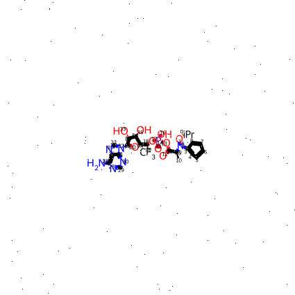 CC(C)ON(c1ccccc1)[C@@H](C)C(=O)OP(=O)(O)O[C@@H]([C@H]1O[C@@H](n2cnc3c(N)ncnc32)[C@H](O)[C@@H]1O)C(F)(F)F